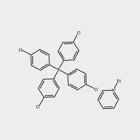 CC[n+]1ccccc1.Clc1ccc([B-](c2ccc(Cl)cc2)(c2ccc(Cl)cc2)c2ccc(Cl)cc2)cc1